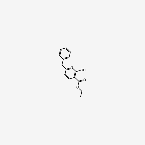 CCOC(=O)c1cnc(Cc2ccccc2)nc1O